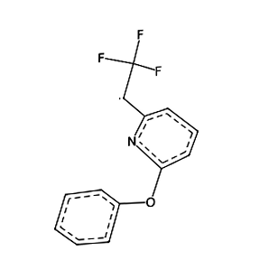 FC(F)(F)[CH]c1cccc(Oc2ccccc2)n1